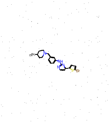 CCCC1CCN(Cc2cccc(Nc3nccc(-c4ccc(Br)s4)n3)c2)CC1